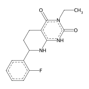 CCn1c(=O)[nH]c2c(c1=O)CCC(c1ccccc1F)N2